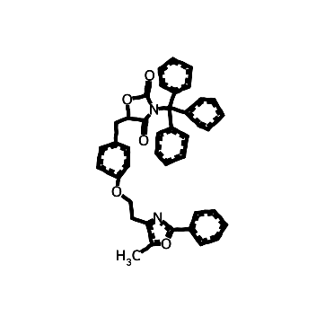 Cc1oc(-c2ccccc2)nc1CCOc1ccc(CC2OC(=O)N(C(c3ccccc3)(c3ccccc3)c3ccccc3)C2=O)cc1